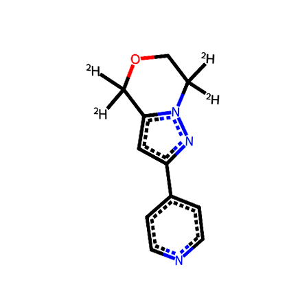 [2H]C1([2H])OCC([2H])([2H])n2nc(-c3ccncc3)cc21